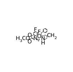 C=C1CCNC([C@H](Cc2ccccc2)Oc2c(F)c(F)cc3c(=O)c(C(=O)OCC)cn(C4CC4)c23)C1